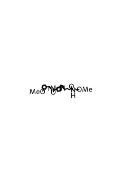 COCCNC(=O)CCCn1ccc2cc(C(=O)N/N=C/c3cccc(OC)c3)ccc21